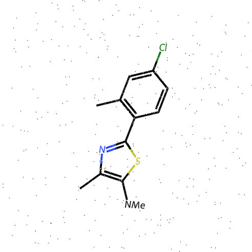 CNc1sc(-c2ccc(Cl)cc2C)nc1C